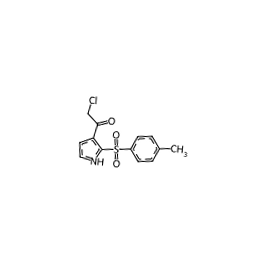 Cc1ccc(S(=O)(=O)c2[nH]ccc2C(=O)CCl)cc1